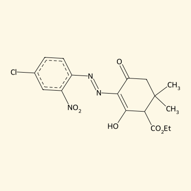 CCOC(=O)C1C(O)=C(/N=N/c2ccc(Cl)cc2[N+](=O)[O-])C(=O)CC1(C)C